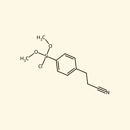 CO[Si](Cl)(OC)c1ccc(CCC#N)cc1